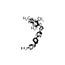 Cc1nc2nc(C)c(OC3CCN(c4cnc(-c5ccc(CN6CCN(C)CC6)cc5)nc4)C3)c(C)n2n1